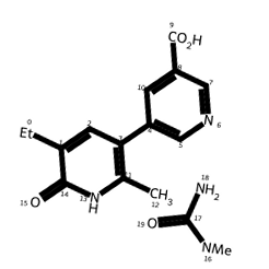 CCc1cc(-c2cncc(C(=O)O)c2)c(C)[nH]c1=O.CNC(N)=O